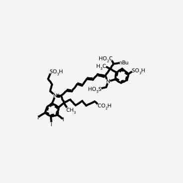 CCCCC(C(=O)O)C1(C)/C(=C/C=C/C=C/C=C/C2=[N+](CCCS(=O)(=O)O)c3cc(I)c(I)c(I)c3C2(C)CCCCCC(=O)O)N(CS(=O)(=O)O)c2ccc(S(=O)(=O)O)cc21